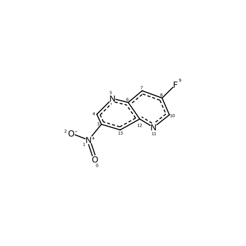 O=[N+]([O-])c1cnc2cc(F)cnc2c1